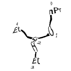 CCCO[SiH](CC)CC